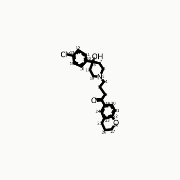 O=C(CCCN1CCC(O)(c2ccc(Cl)cc2)CC1)c1ccc2c(c1)CCCO2